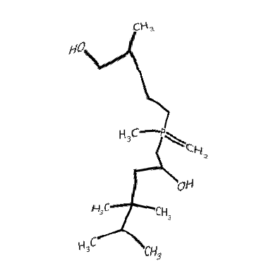 C=P(C)(CCCC(C)CO)C(O)CC(C)(C)C(C)C